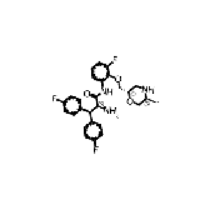 [CH2][C@H]1CO[C@H](COc2c(F)cccc2NC(=O)[C@@H](N)C(c2ccc(F)cc2)c2ccc(F)cc2)CN1